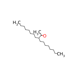 CCCCCCCCC(CCCCCCCC)C(C)=O